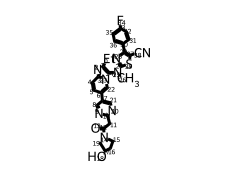 CCc1nc2ccc(-c3cnc(CC(=O)N4CC[C@@H](O)C4)nc3)cn2c1N(C)c1nc(-c2ccc(F)cc2)c(C#N)s1